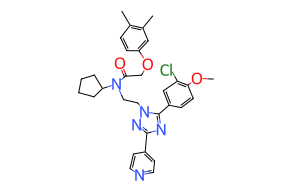 COc1ccc(-c2nc(-c3ccncc3)nn2CCN(C(=O)COc2ccc(C)c(C)c2)C2CCCC2)cc1Cl